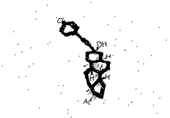 CC(=O)[C@H]1CC[C@H]2[C@@H]3CC[C@@H]4C[C@@](O)(C#Cc5ccc(Cl)cc5)CC[C@]4(C)[C@H]3CC[C@]12C